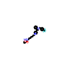 CC(C)(C)OC(=O)NCCCCCCCN1CCC(c2cn(Cc3ccc(C(F)(F)F)cc3)c3ccccc23)CC1